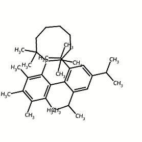 Cc1c(C)c(C)c(P2C(C)(C)CCCCCC2(C)C)c(-c2c(C(C)C)cc(C(C)C)cc2C(C)C)c1C